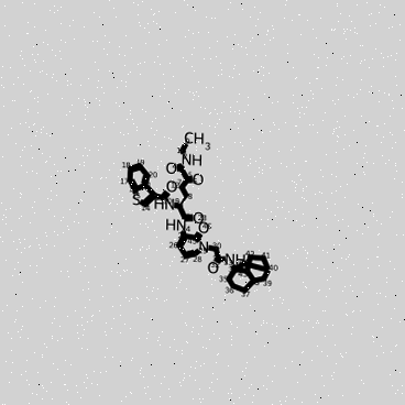 CCNC(=O)C(=O)CC[C@H](NC(=O)c1csc2ccccc12)C(=O)Nc1cccn(CC(=O)NC23CCCC4CC(CCC42)C3)c1=O